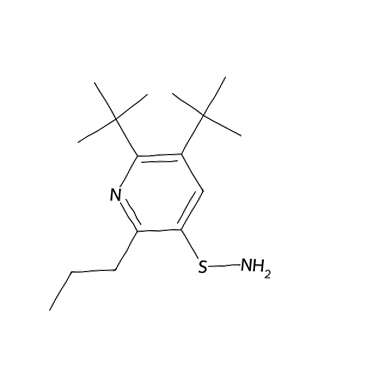 CCCc1nc(C(C)(C)C)c(C(C)(C)C)cc1SN